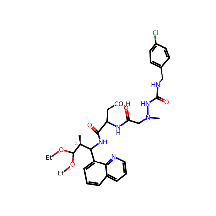 CCOC(OCC)[C@@H](C)C(NC(=O)C(CC(=O)O)NC(=O)CN(C)NC(=O)NCc1ccc(Cl)cc1)c1cccc2cccnc12